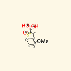 COc1cccc2c1cc(B(O)O)[s+]2[O-]